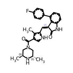 Cc1c(C(=O)N2C[C@H](C)N[C@@H](C)C2)c[nH]c1/C=C1\C(=O)Nc2cccc(-c3ccc(F)cc3)c21